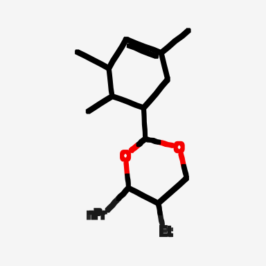 CCCC1OC(C2CC(C)=CC(C)C2C)OCC1CC